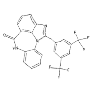 O=C1Nc2ccccc2-n2c(-c3cc(C(F)(F)F)cc(C(F)(F)F)c3)nc3cccc1c32